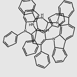 c1ccc(-c2cc3c(c(-c4ccccc4)c2-n2c4ccccc4c4ccc5c6ccccc6n(C6NC(c7ccccc7)NC(c7ccccc7)N6)c5c42)c2ccccc2n3-c2ccccc2)cc1